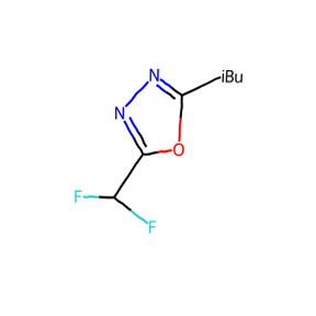 CCC(C)c1nnc(C(F)F)o1